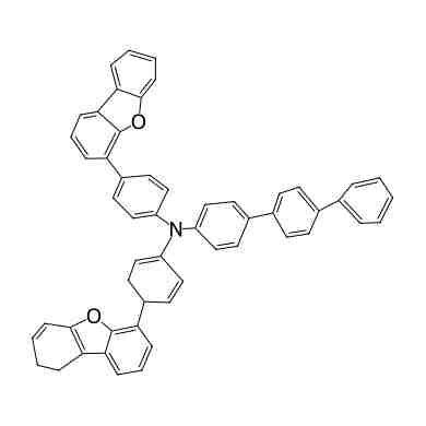 C1=Cc2oc3c(C4C=CC(N(c5ccc(-c6ccc(-c7ccccc7)cc6)cc5)c5ccc(-c6cccc7c6oc6ccccc67)cc5)=CC4)cccc3c2CC1